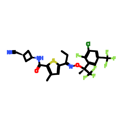 CC/C(=N\O[C@@](C)(c1cc(C(F)(F)F)cc(Cl)c1F)C(F)(F)F)c1cc(C)c(C(=O)N[C@H]2C[C@@H](C#N)C2)s1